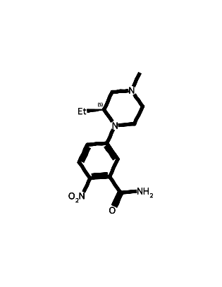 CC[C@H]1CN(C)CCN1c1ccc([N+](=O)[O-])c(C(N)=O)c1